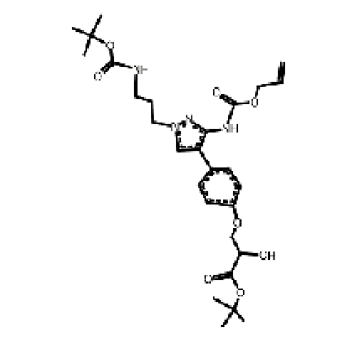 C=CCOC(=O)Nc1nn(CCCNC(=O)OC(C)(C)C)cc1-c1ccc(OCC(O)C(=O)OC(C)(C)C)cc1